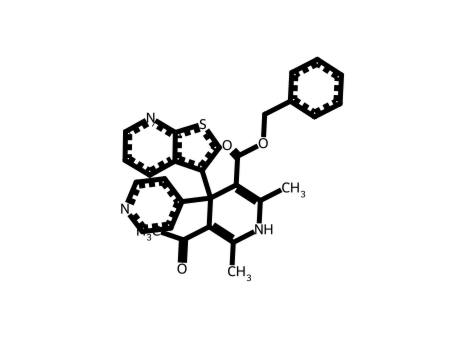 CC(=O)C1=C(C)NC(C)=C(C(=O)OCc2ccccc2)C1(c1ccncc1)c1csc2ncccc12